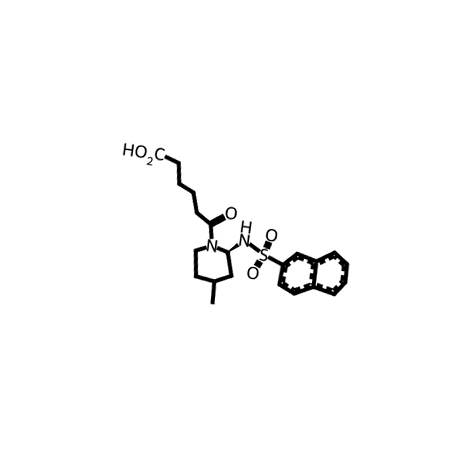 CC1CCN(C(=O)CCCCC(=O)O)[C@@H](NS(=O)(=O)c2ccc3ccccc3c2)C1